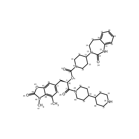 Cc1cc(C[C@@H](OC(=O)N2CCC(N3CCc4ccccc4NC3=O)CC2)C(=O)N2CCC(C3CCNCC3)CC2)cc2oc(=O)n(C)c12